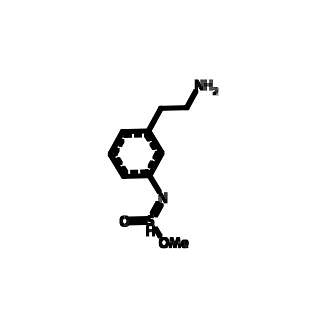 CO[SH](=O)=Nc1cccc(CCN)c1